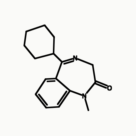 CN1C(=O)CN=C(C2CCCCC2)c2ccccc21